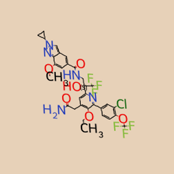 CCOc1c(CC(N)=O)cc([C@@](O)(CNC(=O)c2cc(OC)c3nn(C4CC4)cc3c2)C(F)(F)F)nc1-c1ccc(OC(F)(F)F)c(Cl)c1